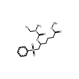 [2H]CN(B)C(=O)OC(CCCC(=O)OC(C)(C)C)CS(=O)(=O)c1ccccc1